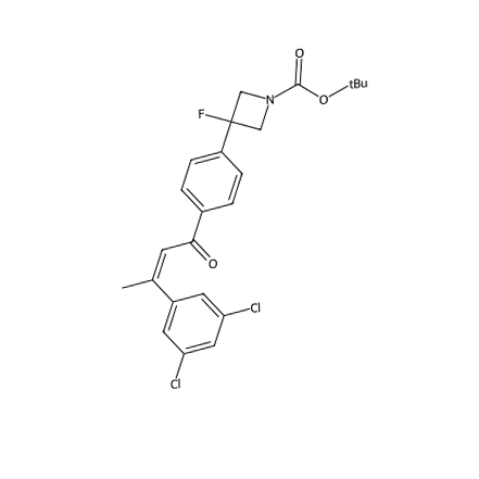 C/C(=C/C(=O)c1ccc(C2(F)CN(C(=O)OC(C)(C)C)C2)cc1)c1cc(Cl)cc(Cl)c1